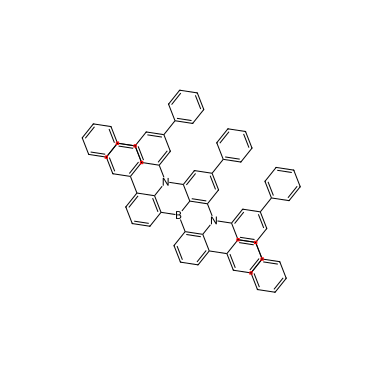 c1ccc(-c2cc(-c3ccccc3)cc(N3c4cc(-c5ccccc5)cc5c4B(c4cccc(-c6ccccc6)c43)c3cccc(-c4ccccc4)c3N5c3cc(-c4ccccc4)cc(-c4ccccc4)c3)c2)cc1